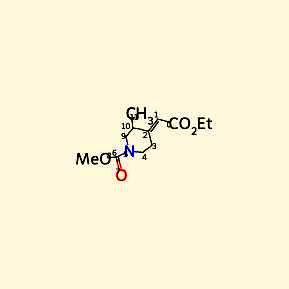 CCOC(=O)C=C1CCN(C(=O)OC)CC1C